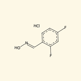 Cl.ON=Cc1ccc(F)cc1F